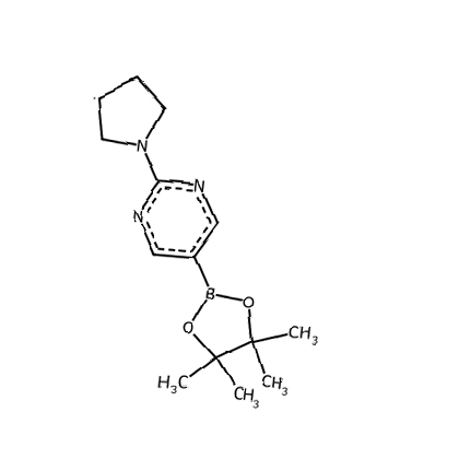 CC1(C)OB(c2cnc(N3C[CH]CC3)nc2)OC1(C)C